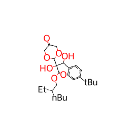 CCCCC(CC)COC(=O)C(O)(C1OCC(=O)CO1)C(O)c1ccc(C(C)(C)C)cc1